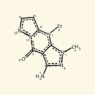 CCn1c2c(c(N)nn2C)c(=O)n2nccc12